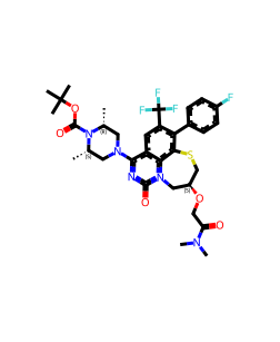 C[C@@H]1CN(c2nc(=O)n3c4c(c(-c5ccc(F)cc5)c(C(F)(F)F)cc24)SC[C@@H](OCC(=O)N(C)C)C3)C[C@H](C)N1C(=O)OC(C)(C)C